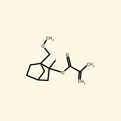 C=C(C)C(=O)OC1(I)CC2CCC1(COC)C2